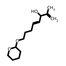 C=C(C)C(O)/C=C/CCCOC1CCCCO1